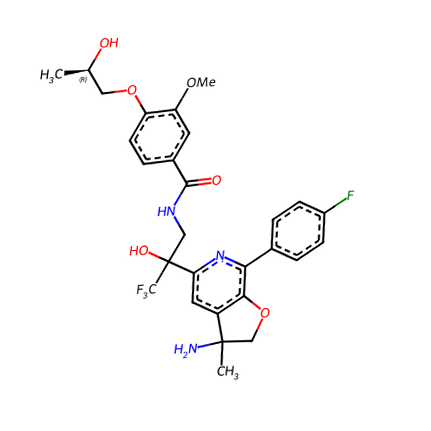 COc1cc(C(=O)NCC(O)(c2cc3c(c(-c4ccc(F)cc4)n2)OCC3(C)N)C(F)(F)F)ccc1OC[C@@H](C)O